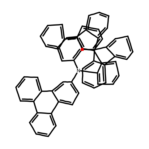 c1ccc(-c2cccc(-c3ccccc3N(c3ccc4c5ccccc5c5ccccc5c4c3)c3cccc4c3C3(c5ccccc5-c5ccccc53)c3ccccc3-4)c2)cc1